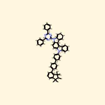 CC1C(C)(C)c2cccc(-c3ccc(-c4ccc(-n5c6ccccc6c6c7c8c(n(-c9nc(-c%10ccccc%10)nc(-c%10ccccc%10)n9)c7ccc65)=CCCC=8)cc4)cc3)c2C1(C)C